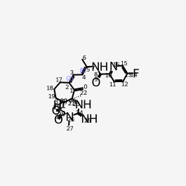 C=C1/C(=C\C=C(/C)NC(=O)c2ccc(F)cn2)CCC[C@H]2[C@]1(C)NC(=N)N(C)S2(=O)=O